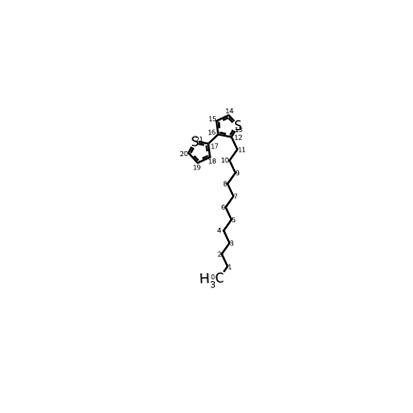 CCCCCCCCCCCCc1sccc1-c1cccs1